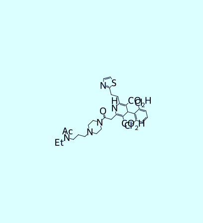 CCN(CCCN1CCN(C(=O)CC2=C(C(=O)O)C(c3c(Cl)cccc3Cl)C(C(=O)O)=C(CCc3nccs3)N2)CC1)C(C)=O